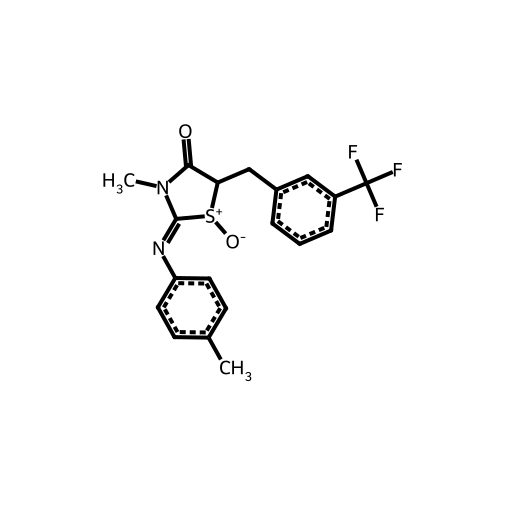 Cc1ccc(N=C2N(C)C(=O)C(Cc3cccc(C(F)(F)F)c3)[S+]2[O-])cc1